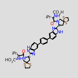 CC(C)[C@H](NC(=O)O)C(=O)N1CC2(C[C@H]1c1nc3cc(-c4ccc(-c5ccc6[nH]c([C@@H]7CC8(CN7C(=O)[C@@H](NC(=O)O)C(C)C)SCCS8)nc6c5)cc4)ccc3[nH]1)SCCS2